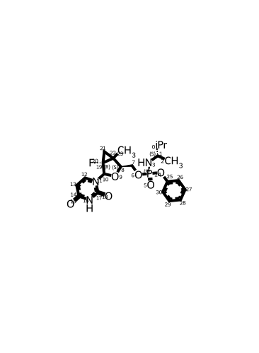 CC(C)[C@H](C)N[P@](=O)(OC[C@H]1OC(n2ccc(=O)[nH]c2=O)[C@@]2(F)CC12C)Oc1ccccc1